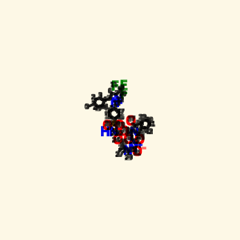 Cc1ccc(-c2cc(C(F)(F)F)nn2-c2ccc(S(=O)(=O)NC(=O)OC[C@H](C)N(C)/[N+]([O-])=N\OCN3C(=O)c4ccccc4C3=O)cc2)cc1